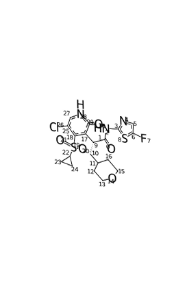 O=C(Nc1ncc(F)s1)[C@H](CC1CCOCC1)c1c(S(=O)(=O)C2CC2)c(Cl)c[nH]c1=O